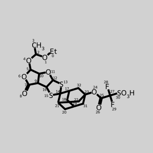 CCOC(C)OC1OC(=O)C2C1OC1SC3(SC12)C1CC2CC3CC(OC(=O)C(F)(F)S(=O)(=O)O)(C2)C1